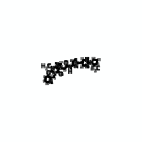 Cn1c(=O)n(Cc2ccccn2)c(=O)c2c1ncn2CC(=O)Nc1csc(-c2cnc(N3CCC[C@H]3C(F)(F)F)nc2)n1